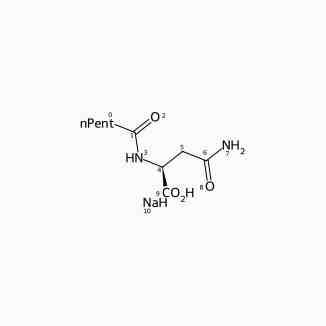 CCCCCC(=O)N[C@@H](CC(N)=O)C(=O)O.[NaH]